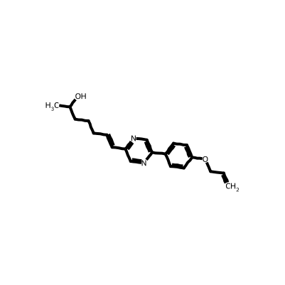 C=CCOc1ccc(-c2cnc(C=CCCCC(C)O)cn2)cc1